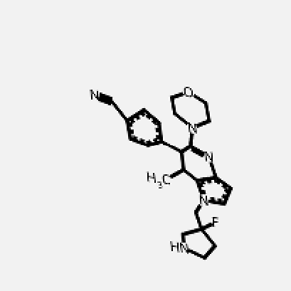 CC1c2c(ccn2CC2(F)CCNC2)N=C(N2CCOCC2)C1c1ccc(C#N)cc1